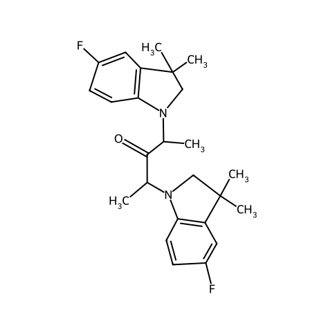 CC(C(=O)C(C)N1CC(C)(C)c2cc(F)ccc21)N1CC(C)(C)c2cc(F)ccc21